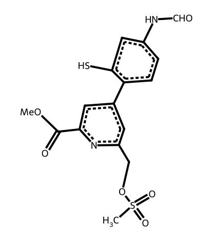 COC(=O)c1cc(-c2ccc(NC=O)cc2S)cc(COS(C)(=O)=O)n1